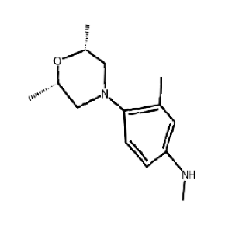 CNc1ccc(N2C[C@@H](C)O[C@@H](C)C2)c(C)c1